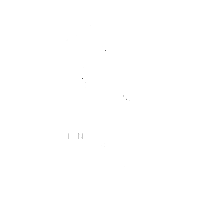 N#Cc1cnc2cc(OC3CCOC3)c(N)cc2c1N1CCc2ccc(Cl)cc21